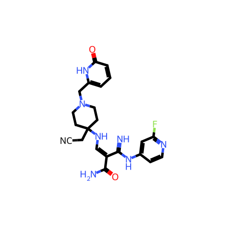 N#CCC1(N/C=C(\C(=N)Nc2ccnc(F)c2)C(N)=O)CCN(Cc2cccc(=O)[nH]2)CC1